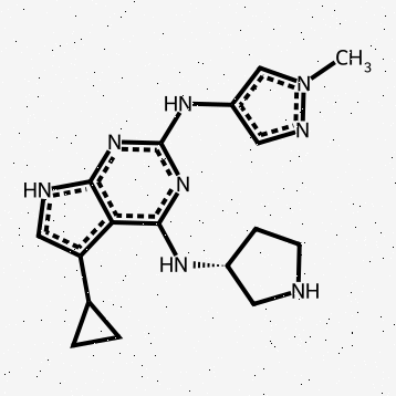 Cn1cc(Nc2nc(N[C@@H]3CCNC3)c3c(C4CC4)c[nH]c3n2)cn1